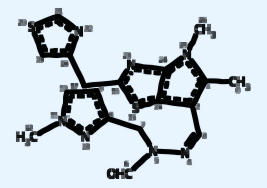 Cc1c(/C=N\N(C=O)Cc2ccn(C)n2)c2sc(Cc3cscn3)nc2n1C